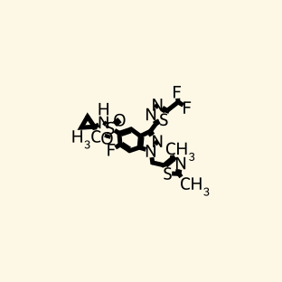 Cc1nc(C)c(Cn2nc(-c3nnc(C(F)F)s3)c3cc(S(=O)(=O)NC4(C)CC4)c(F)cc32)s1